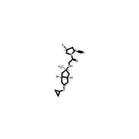 C[C@]1(NCC(=O)N2C[C@@H](F)C[C@H]2C#N)C[C@H]2C[C@@H](OC3CC3)C[C@H]2C1